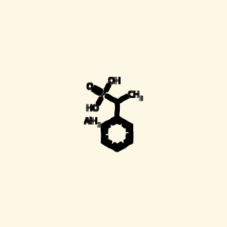 CC(c1ccccc1)P(=O)(O)O.[AlH3]